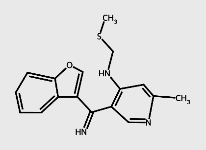 CSCNc1cc(C)ncc1C(=N)c1coc2ccccc12